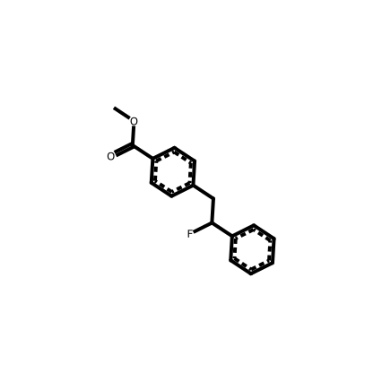 COC(=O)c1ccc(CC(F)c2ccccc2)cc1